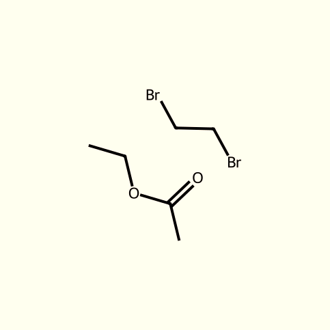 BrCCBr.CCOC(C)=O